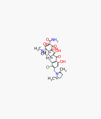 C[C@@H]1CC[C@@H](C)N1Cc1cc(O)c2c(c1Cl)C[C@H]1C[C@H]3[C@H](N(C)C)C(O)=C(C(N)=O)C(=O)[C@@]3(O)C(O)=C1C2=O